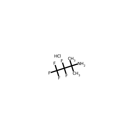 CC(C)(N)C(F)(F)C(F)(F)F.Cl